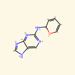 C1=COC(Nc2ncc3[nH]cnc3n2)C=C1